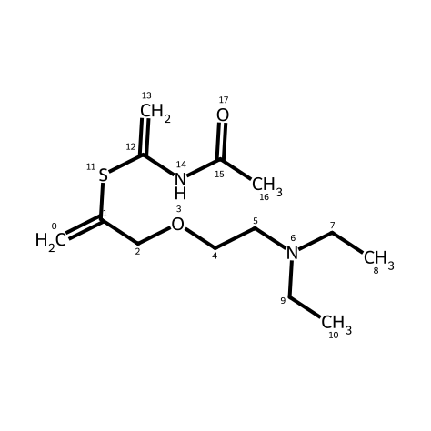 C=C(COCCN(CC)CC)SC(=C)NC(C)=O